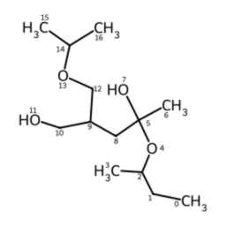 CCC(C)OC(C)(O)CC(CO)COC(C)C